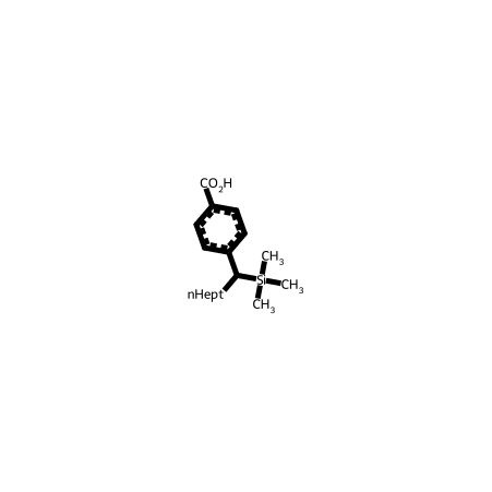 CCCCCCCC(c1ccc(C(=O)O)cc1)[Si](C)(C)C